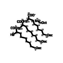 CCCCCCCCCCCCCCCCC(S)C(=O)[O-].CCCCCCCCCCCCCCCCC(S)C(=O)[O-].CCCCCCCCCCCCCCCCC(S)C(=O)[O-].CCCCCCC[CH2][Sn+3]